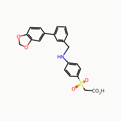 O=C(O)CS(=O)(=O)c1ccc(NCc2cccc(-c3ccc4c(c3)OCO4)c2)cc1